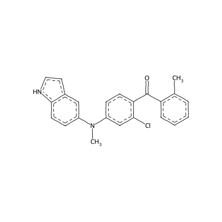 Cc1ccccc1C(=O)c1ccc(N(C)c2ccc3[nH]ccc3c2)cc1Cl